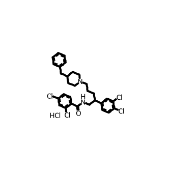 Cl.O=C(NCC(CCCN1CCC(Cc2ccccc2)CC1)c1ccc(Cl)c(Cl)c1)c1ccc(Cl)cc1Cl